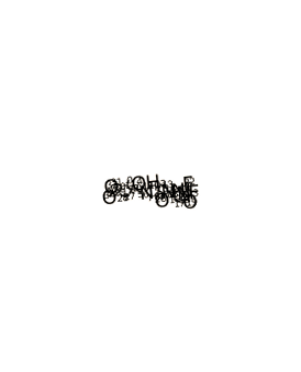 Cc1c([C@@H](O)CN2CCC3(CC2)CCN(c2ccc(=O)n(C(F)F)n2)C3=O)ccc2c1COC2=O